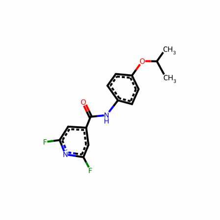 CC(C)Oc1ccc(NC(=O)c2cc(F)nc(F)c2)cc1